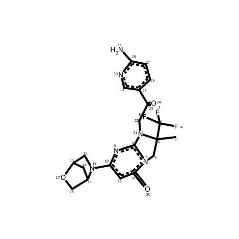 CC1(C(F)(F)F)Cn2c(nc(N3CC4CC3CO4)cc2=O)N1CC(=O)c1ccc(N)nc1